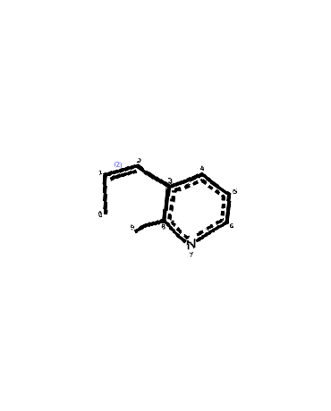 C/C=C\c1cccnc1C